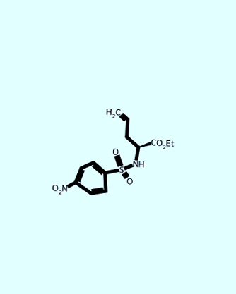 C=CC[C@H](NS(=O)(=O)c1ccc([N+](=O)[O-])cc1)C(=O)OCC